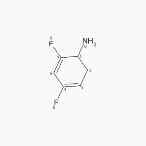 NC1CC=C(F)C=C1F